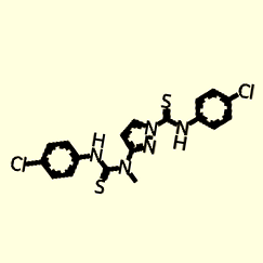 CN(C(=S)Nc1ccc(Cl)cc1)c1ccn(C(=S)Nc2ccc(Cl)cc2)n1